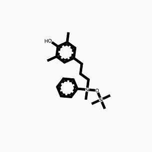 Cc1cc(CCC[Si](C)(O[Si](C)(C)C)c2ccccc2)cc(C)c1O